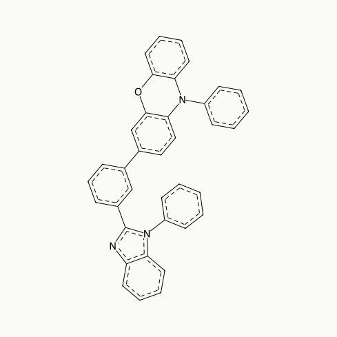 c1ccc(N2c3ccccc3Oc3cc(-c4cccc(-c5nc6ccccc6n5-c5ccccc5)c4)ccc32)cc1